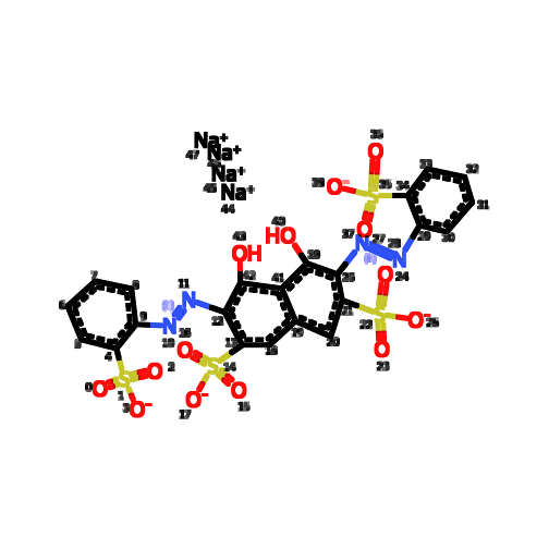 O=S(=O)([O-])c1ccccc1/N=N/c1c(S(=O)(=O)[O-])cc2cc(S(=O)(=O)[O-])c(/N=N/c3ccccc3S(=O)(=O)[O-])c(O)c2c1O.[Na+].[Na+].[Na+].[Na+]